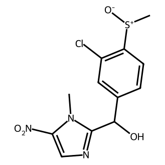 Cn1c([N+](=O)[O-])cnc1C(O)c1ccc([S+](C)[O-])c(Cl)c1